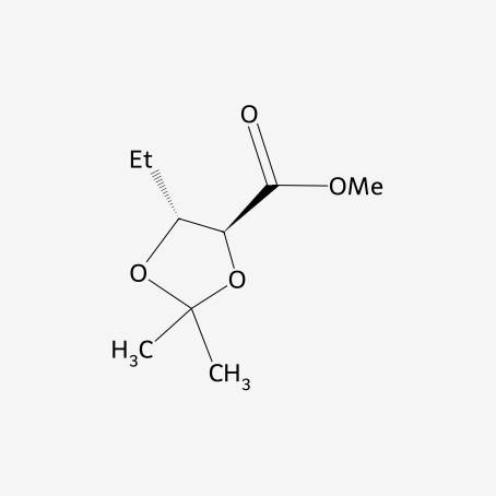 CC[C@H]1OC(C)(C)O[C@@H]1C(=O)OC